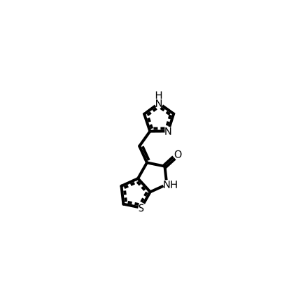 O=C1Nc2sccc2C1=Cc1c[nH]cn1